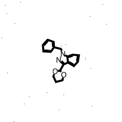 c1ccc(Cn2nc(C3OCCCO3)c3ccccc32)cc1